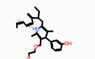 C=C(/C=C\C=C/C)C(CC)CC1=C(C)C(c2cccc(O)c2)C(COCCOC)=C(C)N1